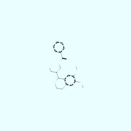 COc1cc2c(cc1OC)C(C(CO)COC(=O)c1ccccc1)NCC2